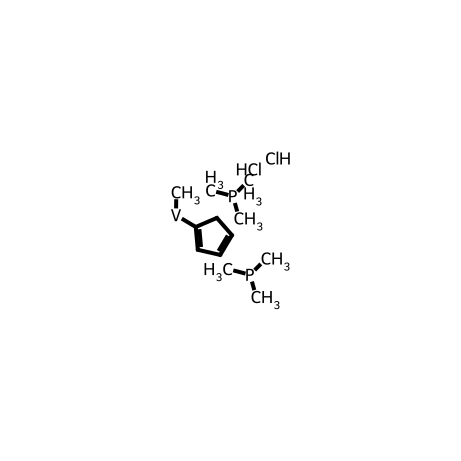 CP(C)C.CP(C)C.Cl.Cl.[CH3][V][C]1=CC=CC1